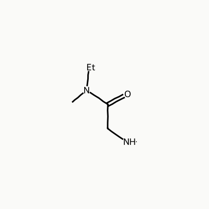 CCN(C)C(=O)C[NH]